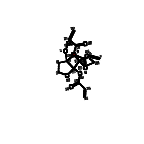 [CH2]COC1(OC(=O)C=C)CCOC1(OC(=O)C=C)C1(OC(=O)C=C)CCO1